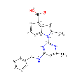 Cc1cc(NCc2ccccc2)nc(-n2c(C)cc3c(B(O)O)cccc32)n1